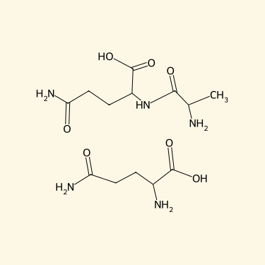 CC(N)C(=O)NC(CCC(N)=O)C(=O)O.NC(=O)CCC(N)C(=O)O